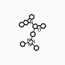 c1ccc(-c2nc(-c3ccccc3)nc(-c3ccc(-c4cc(-n5c6ccccc6c6cc7ccccc7cc65)cc5c4oc4ccccc45)cc3)n2)cc1